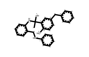 CCCC(C)(Pc1ccccc1CNc1ccccc1)c1cc(Cc2ccccc2)ccc1O